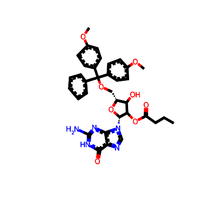 CCCC(=O)OC1C(O)[C@@H](COC(c2ccccc2)(c2ccc(OC)cc2)c2ccc(OC)cc2)O[C@H]1n1cnc2c(=O)[nH]c(N)nc21